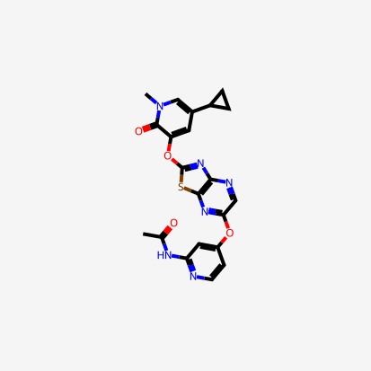 CC(=O)Nc1cc(Oc2cnc3nc(Oc4cc(C5CC5)cn(C)c4=O)sc3n2)ccn1